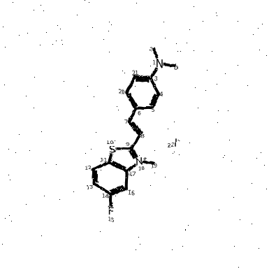 CN(C)c1ccc(/C=C/c2sc3ccc(F)cc3[n+]2C)cc1.[I-]